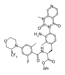 CCCOC(=O)[C@H](Cc1ccc(-n2c(=O)c3ccncc3n(C)c2=O)c(N)c1C)NC(=O)c1c(C)cc(N2CCOC[C@@H]2C(F)(F)F)cc1F